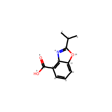 CC(C)c1nc2c(C(=O)O)cccc2o1